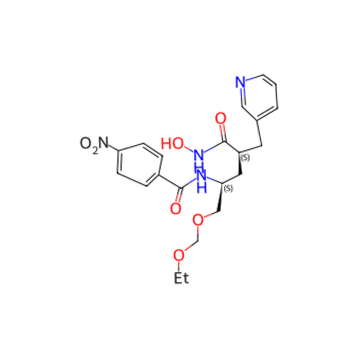 CCOCOC[C@H](C[C@H](Cc1cccnc1)C(=O)NO)NC(=O)c1ccc([N+](=O)[O-])cc1